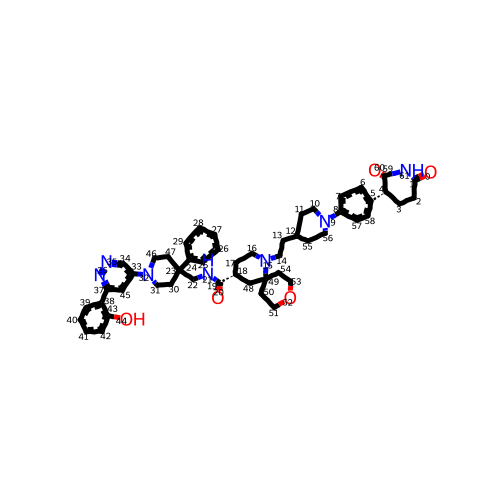 O=C1CC[C@H](c2ccc(N3CCC(CCN4CC[C@@H](C(=O)NCC5(c6ccccc6)CCN(c6cnnc(-c7ccccc7O)c6)CC5)CC45CCOCC5)CC3)cc2)C(=O)N1